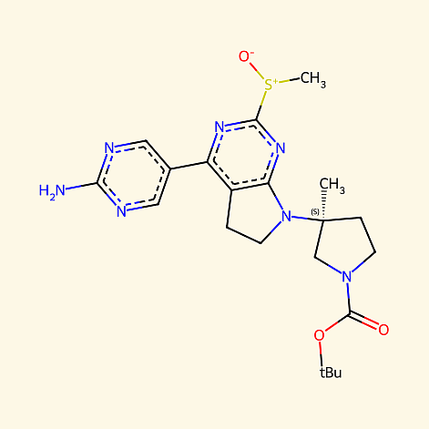 C[S+]([O-])c1nc(-c2cnc(N)nc2)c2c(n1)N([C@@]1(C)CCN(C(=O)OC(C)(C)C)C1)CC2